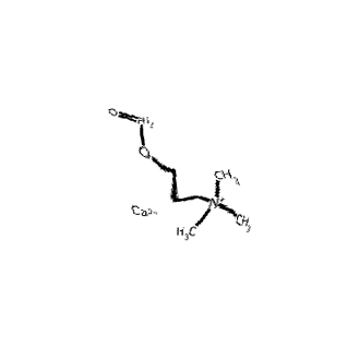 C[N+](C)(C)CCO[PH2]=O.[Ca+2]